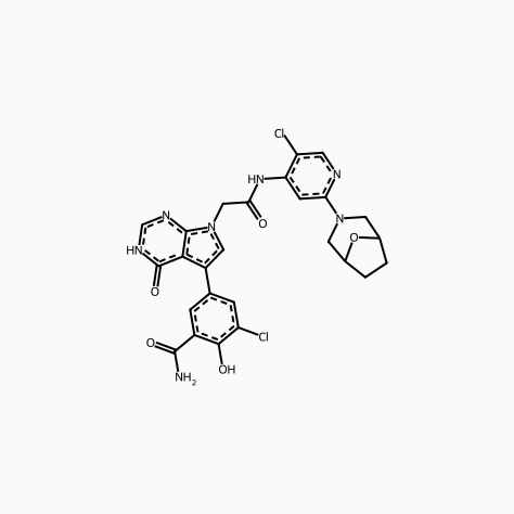 NC(=O)c1cc(-c2cn(CC(=O)Nc3cc(N4CC5CCC(C4)O5)ncc3Cl)c3nc[nH]c(=O)c23)cc(Cl)c1O